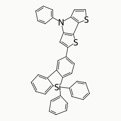 c1ccc(-n2c3ccsc3c3sc(-c4ccc5c(c4)-c4ccccc4[Si]5(c4ccccc4)c4ccccc4)cc32)cc1